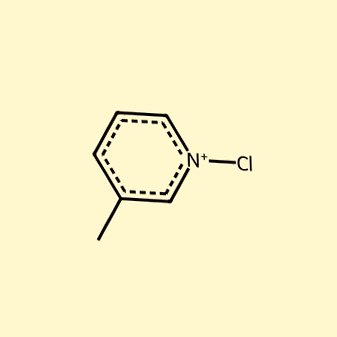 Cc1ccc[n+](Cl)c1